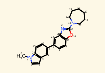 Cn1ccc2cc(-c3ccc4oc(N5CCCCCC5)nc4c3)ccc21